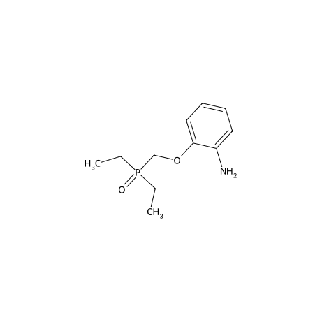 CCP(=O)(CC)COc1ccccc1N